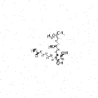 CC(C)=CCC[C@H](O)C=C[C@@H]1[C@@H](CC=CCCCC(=O)O)[C@@H](O)C[C@H]1O